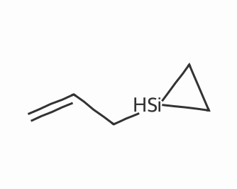 C=CC[SiH]1CC1